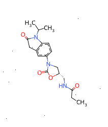 CCC(=O)NC[C@H]1CN(c2ccc3c(c2)CC(=O)N3C(C)C)C(=O)O1